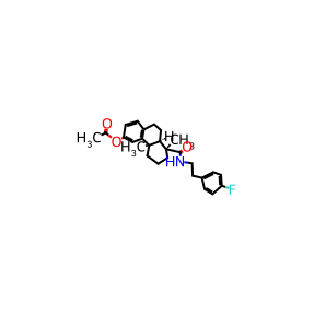 CC(=O)Oc1ccc2c(c1)[C@@]1(C)CCC[C@@](C)(C(=O)NCCc3ccc(F)cc3)[C@@H]1CC2